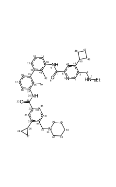 CCNCc1cnc(C(=O)Nc2cccc(-c3cccc(NC(=O)c4cc(C5CC5)c(CN5CCCCC5)cn4)c3C)c2C)cc1C1CCC1